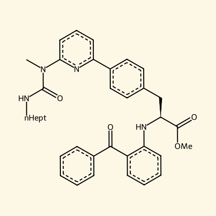 CCCCCCCNC(=O)N(C)c1cccc(-c2ccc(C[C@H](Nc3ccccc3C(=O)c3ccccc3)C(=O)OC)cc2)n1